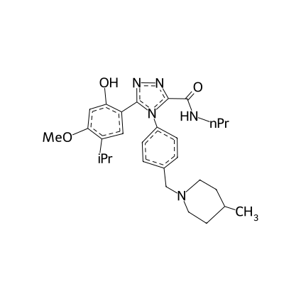 CCCNC(=O)c1nnc(-c2cc(C(C)C)c(OC)cc2O)n1-c1ccc(CN2CCC(C)CC2)cc1